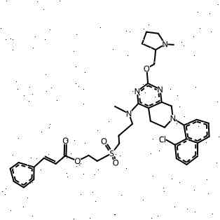 CN(CCCS(=O)(=O)CCOC(=O)C=Cc1ccccc1)c1nc(OCC2CCCN2C)nc2c1CCN(c1cccc3cccc(Cl)c13)C2